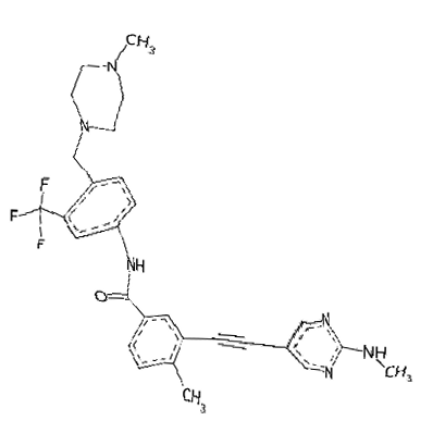 CNc1ncc(C#Cc2cc(C(=O)Nc3ccc(CN4CCN(C)CC4)c(C(F)(F)F)c3)ccc2C)cn1